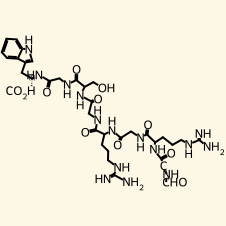 N=C(N)NCCCC(NC(=O)CNC=O)C(=O)NCC(=O)NC(CCCNC(=N)N)C(=O)NCC(=O)NC(CO)C(=O)NCC(=O)N[C@@H](Cc1c[nH]c2ccccc12)C(=O)O